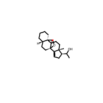 CC(O)[C@H]1CC=C2[C@]1(C)CC[C@@H]1[C@@]34CCCC[C@H]3CC[C@@]21OC4